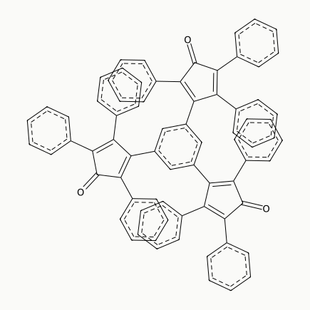 O=C1C(c2ccccc2)=C(c2ccccc2)C(c2cc(C3=C(c4ccccc4)C(=O)C(c4ccccc4)=C3c3ccccc3)cc(C3=C(c4ccccc4)C(=O)C(c4ccccc4)=C3c3ccccc3)c2)=C1c1ccccc1